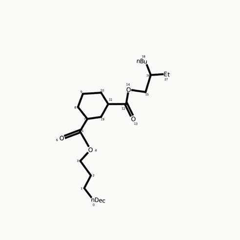 CCCCCCCCCCCCCOC(=O)C1CCCC(C(=O)OCC(CC)CCCC)C1